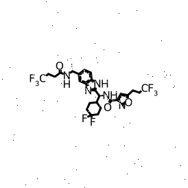 C[C@@H](NC(=O)CCC(F)(F)F)c1ccc2[nH]c([C@@H](NC(=O)c3cc(CCC(F)(F)F)on3)C3CCC(F)(F)CC3)nc2c1